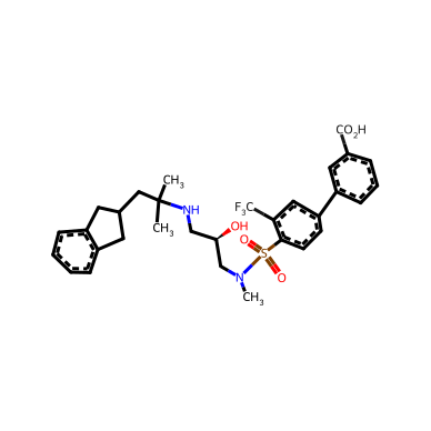 CN(C[C@H](O)CNC(C)(C)CC1Cc2ccccc2C1)S(=O)(=O)c1ccc(-c2cccc(C(=O)O)c2)cc1C(F)(F)F